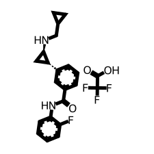 O=C(Nc1ccccc1F)c1cccc([C@@H]2C[C@H]2NCC2CC2)c1.O=C(O)C(F)(F)F